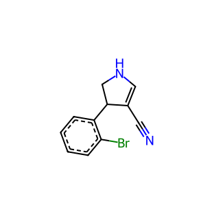 N#CC1=CNCC1c1ccccc1Br